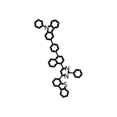 c1ccc(-c2nc(-c3ccc(-c4ccc(-c5ccc6c(c5)c5ccccc5n6-c5ccccc5)cc4)c4ccccc34)cc(-c3cccc4c3sc3ccccc34)n2)cc1